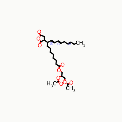 CC/C=C/C/C=C/C=C/C(CCCCCCCC(=O)OCC(COC(C)=O)OC(C)=O)C1CC(=O)OC1=O